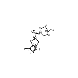 Cc1n[nH]c2c1CN(C(=O)N1CCN(C)CC1)C2